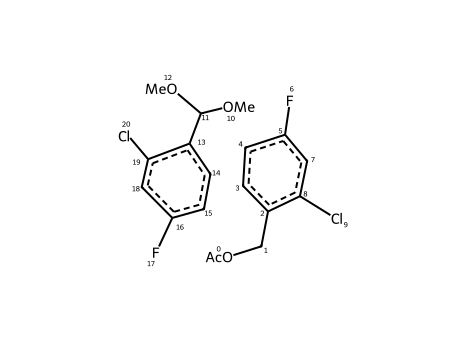 CC(=O)OCc1ccc(F)cc1Cl.COC(OC)c1ccc(F)cc1Cl